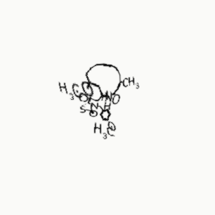 COc1ccc(CN2C(=O)SC[C@@H]2[C@@]2(OC)C[C@H]3CC(CCC/C=C/CC/C(C)=C\C(=O)N3)O2)cc1